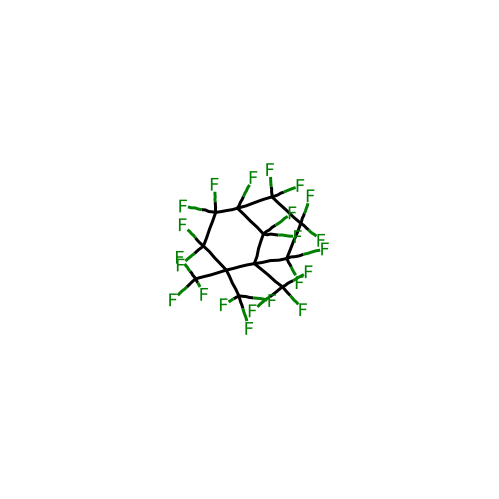 FC(F)(F)C1(C(F)(F)F)C(F)(F)C(F)(F)C2(F)C(F)(F)C(F)(F)C(F)(F)C1(C(F)(F)F)C2(F)F